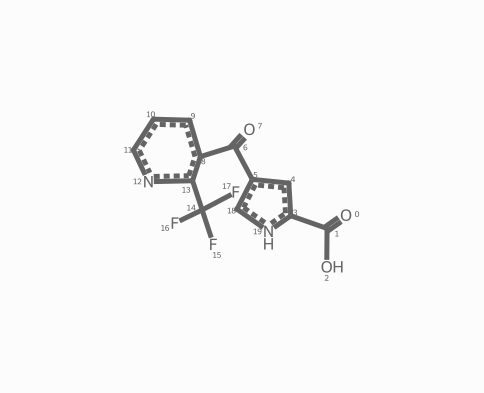 O=C(O)c1cc(C(=O)c2cccnc2C(F)(F)F)c[nH]1